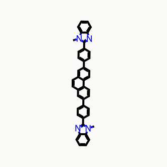 Cn1c(-c2ccc(-c3ccc4c(ccc5cc(-c6ccc(-c7nc8ccccc8n7C)cc6)ccc54)c3)cc2)nc2ccccc21